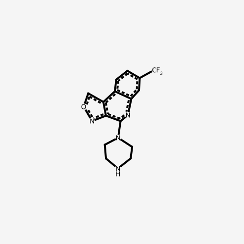 FC(F)(F)c1ccc2c(c1)nc(N1CCNCC1)c1nocc12